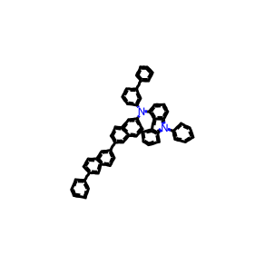 c1ccc(-c2cccc(N(c3ccc4cc(-c5ccc6cc(-c7ccccc7)ccc6c5)ccc4c3)c3cccc4c3c3ccccc3n4-c3ccccc3)c2)cc1